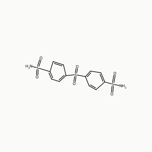 NS(=O)(=O)c1ccc(S(=O)(=O)c2ccc(S(N)(=O)=O)cc2)cc1